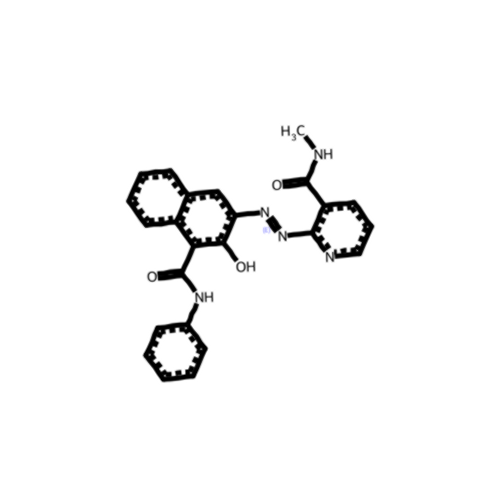 CNC(=O)c1cccnc1/N=N/c1cc2ccccc2c(C(=O)Nc2ccccc2)c1O